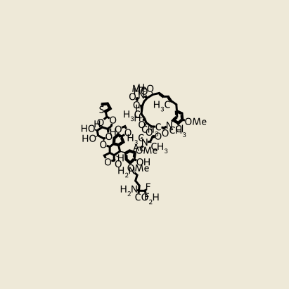 COc1cc([C@@H]2c3cc4c(cc3C(O[C@@H]3O[C@@H]5COC(c6cccs6)O[C@H]5[C@H](O)[C@H]3O)C3COC(=O)[C@@H]32)OCO4)cc(OC)c1O.COc1cc2cc(c1Cl)N(C)C(=O)C[C@H](OC(=O)[C@H](C)N(C)C(C)=O)[C@]1(C)O[C@H]1[C@H](C)[C@@H]1C[C@@](O)(NC(=O)O1)[C@H](OC)/C=C/C=C(\C)C2.NCCCC(N)(C(=O)O)C(F)F